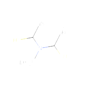 CCOC(=O)N(C(S)C(C)C)C(S)C(C)C